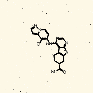 N#CC(=O)[C@H]1CCc2c(sc3ncnc(Nc4ccn5nccc5c4Cl)c23)C1